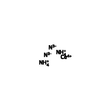 [Ce+4].[N-3].[N-3].[NH4+].[NH4+]